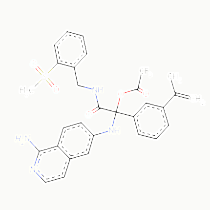 C=C(C)c1cccc(C(Nc2ccc3c(N)nccc3c2)(OC(=O)C(F)(F)F)C(=O)NCc2ccccc2S(C)(=O)=O)c1